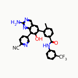 Cc1ccc(C(=O)Nc2cccc(C(F)(F)F)c2)cc1-c1cc2cnc(N)nc2c(-c2ccc(C#N)nc2)c1O